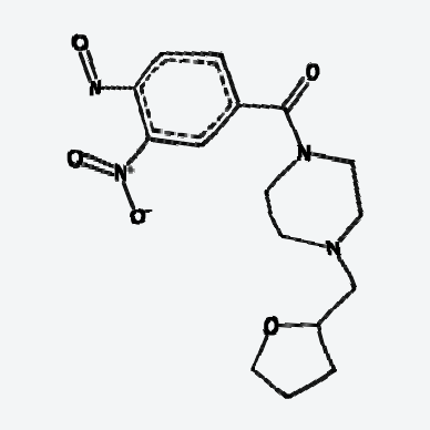 O=Nc1ccc(C(=O)N2CCN(CC3CCCO3)CC2)cc1[N+](=O)[O-]